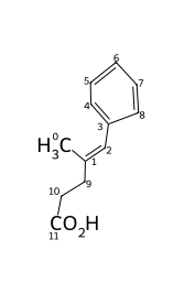 C/C(=C\c1ccccc1)CCC(=O)O